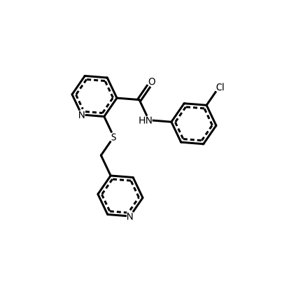 O=C(Nc1cccc(Cl)c1)c1cccnc1SCc1ccncc1